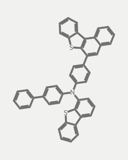 c1ccc(-c2ccc(N(c3ccc(-c4cc5ccccc5c5c4sc4ccccc45)cc3)c3cccc4c3sc3ccccc34)cc2)cc1